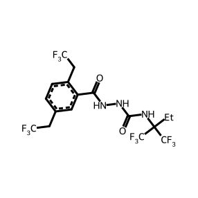 CCC(NC(=O)NNC(=O)c1cc(CC(F)(F)F)ccc1CC(F)(F)F)(C(F)(F)F)C(F)(F)F